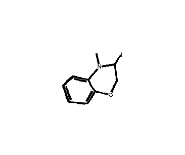 CN1c2ccccc2OCC1I